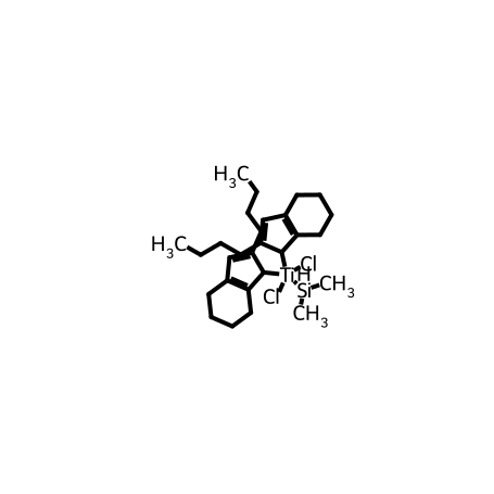 CCCCC1=CC2=C(CCCC2)[CH]1[Ti]([Cl])([Cl])([CH]1C(CCCC)=CC2=C1CCCC2)[SiH](C)C